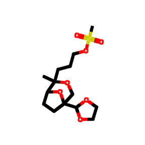 CC1(CCCOS(C)(=O)=O)OCC2(C3OCCO3)CCC1O2